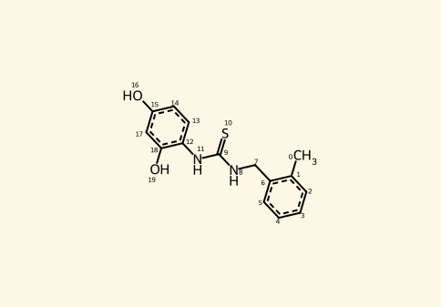 Cc1ccccc1CNC(=S)Nc1ccc(O)cc1O